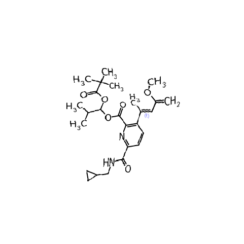 C=C(/C=C(\C)c1ccc(C(=O)NCC2CC2)nc1C(=O)OC(OC(=O)C(C)(C)C)C(C)C)OC